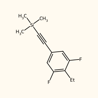 CCc1c(F)cc(C#C[Si](C)(C)C)cc1F